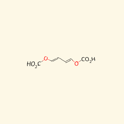 O=C(O)OC=CC=COC(=O)O